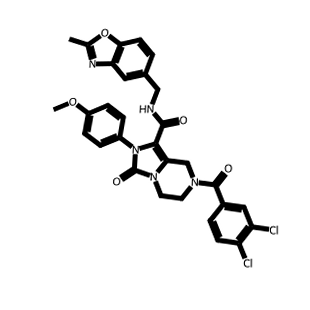 COc1ccc(-n2c(C(=O)NCc3ccc4oc(C)nc4c3)c3n(c2=O)CCN(C(=O)c2ccc(Cl)c(Cl)c2)C3)cc1